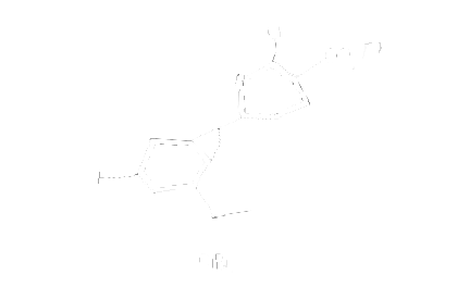 CCOC(=O)c1ccc(C2c3cc(F)cc([C@H](C)OCC(C)C)c32)nc1Cl